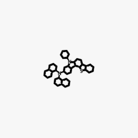 c1ccc(-n2c3cc(N(c4cccc5ccccc45)c4cccc5ccccc45)ccc3c3c4sc5ccccc5c4ccc32)cc1